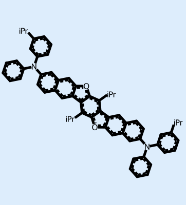 CC(C)c1cccc(N(c2ccccc2)c2ccc3cc4c(cc3c2)oc2c(C(C)C)c3c(oc5cc6cc(N(c7ccccc7)c7cccc(C(C)C)c7)ccc6cc53)c(C(C)C)c24)c1